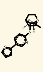 C[C@@H]1[C@@H](Nc2ccc(-c3cccs3)cn2)C2CCN1CC2